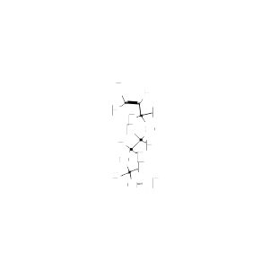 FC(F)=C(F)C(F)(F)OC(F)(F)C(F)(F)OC(F)(F)OC(F)(F)F